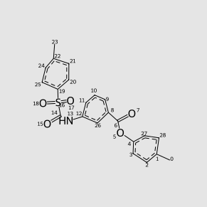 Cc1ccc(OC(=O)c2cccc(NC(=O)S(=O)(=O)c3ccc(C)cc3)c2)cc1